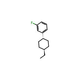 CC[C@H]1CC[C@H](c2cccc(F)c2)CC1